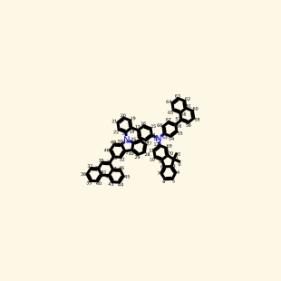 CC1(C)c2ccccc2-c2ccc(N(c3ccc(-c4ccccc4-n4c5ccccc5c5cc(-c6cc7ccccc7c7ccccc67)ccc54)cc3)c3ccc(-c4cccc5ccccc45)cc3)cc21